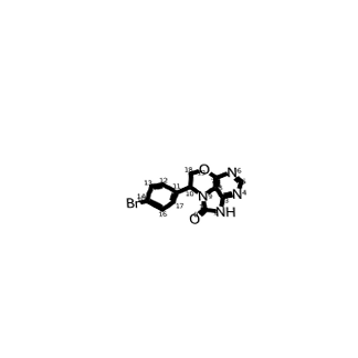 O=c1[nH]c2ncnc3c2n1C(c1ccc(Br)cc1)CO3